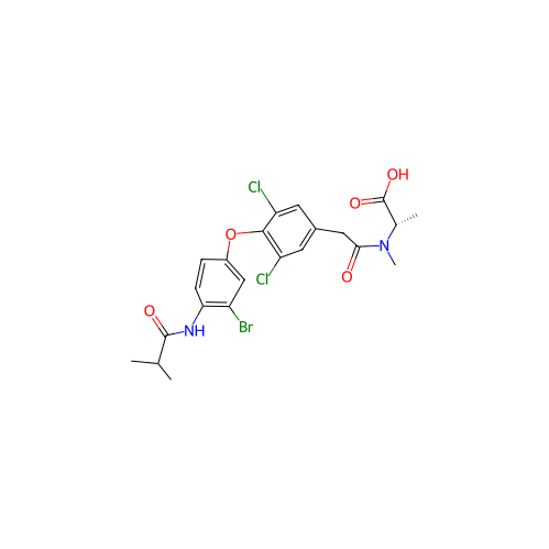 CC(C)C(=O)Nc1ccc(Oc2c(Cl)cc(CC(=O)N(C)[C@@H](C)C(=O)O)cc2Cl)cc1Br